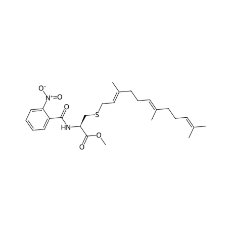 COC(=O)[C@H](CSC/C=C(\C)CC/C=C(\C)CCC=C(C)C)NC(=O)c1ccccc1[N+](=O)[O-]